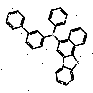 c1ccc(-c2cccc(N(c3ccccc3)c3cc4c5ccccc5sc4c4ccccc34)c2)cc1